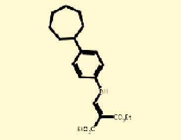 CCOC(=O)C(=CNc1ccc(C2CCCCCC2)cc1)C(=O)OCC